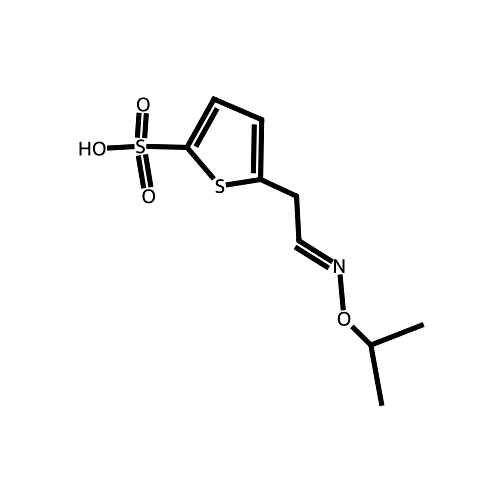 CC(C)ON=CCc1ccc(S(=O)(=O)O)s1